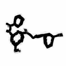 C[C@H](Nc1nc(N)nc(NCCc2cccc(O)c2)n1)c1ccccc1